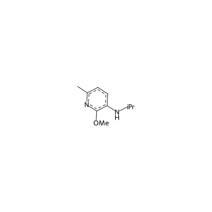 COc1nc(C)ccc1NC(C)C